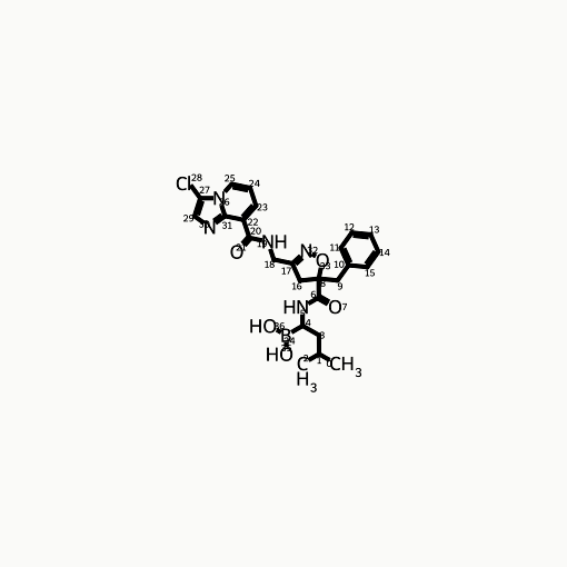 CC(C)CC(NC(=O)C1(Cc2ccccc2)CC(CNC(=O)c2cccn3c(Cl)cnc23)=NO1)B(O)O